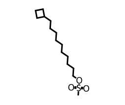 CS(=O)(=O)OCCCCCCCCCCC1CCC1